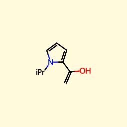 C=C(O)c1cccn1C(C)C